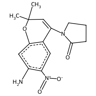 CC1(C)C=C(N2CCCC2=O)c2cc([N+](=O)[O-])c(N)cc2O1